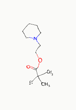 CCC(C)(C)C(=O)OCCN1CCCCC1